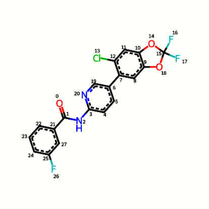 O=C(Nc1ccc(-c2cc3c(cc2Cl)OC(F)(F)O3)cn1)c1cccc(F)c1